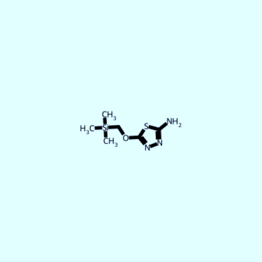 C[Si](C)(C)COc1nnc(N)s1